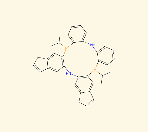 CC(C)P1c2ccccc2Nc2ccccc2P(C(C)C)c2cc3c(cc2Nc2cc4c(cc21)C=CC4)C=CC3